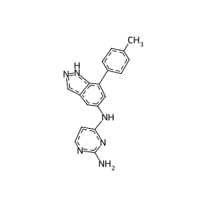 Cc1ccc(-c2cc(Nc3ccnc(N)n3)cc3cn[nH]c23)cc1